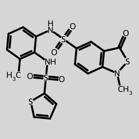 Cc1cccc(NS(=O)(=O)c2ccc3c(c2)c(=O)sn3C)c1NS(=O)(=O)c1cccs1